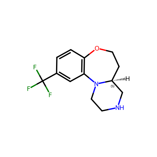 FC(F)(F)c1ccc2c(c1)N1CCNC[C@@H]1CCO2